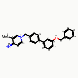 CNc1cn(Cc2ccc(-c3cccc(OCc4ccccc4)c3)cc2)ccc1=N